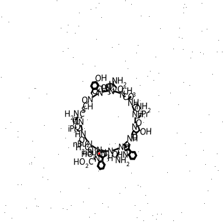 CCCC[C@H]1C(=O)N(C)[C@@H](CCCC)C(=O)N[C@@H](CC(C)C)C(=O)N[C@H](C(N)=O)CSCC(=O)N[C@@H](Cc2ccc(O)cc2)C(=O)N(C)[C@@H](C)C(=O)N[C@@H](CC(N)=O)C(=O)N(C)CC(=O)N[C@@H](CN)C(=O)N[C@@H](CC(C)C)C(=O)N2C[C@H](O)C[C@H]2C(=O)N[C@@H](Cc2c[nH]c3ccccc23)C(=O)N[C@@H](CCN)C(=O)N[C@@H](Cc2c(C(=O)O)n(CC(=O)O)c3ccccc23)C(=O)N1C